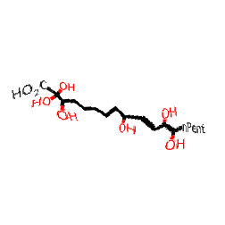 CCCCCC(O)C(O)C=CC(O)CCCCCC(O)C(O)(O)C(=O)O